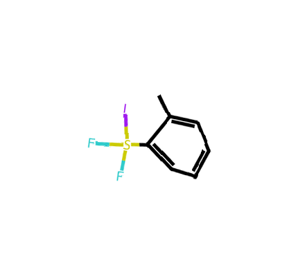 Cc1ccccc1S(F)(F)I